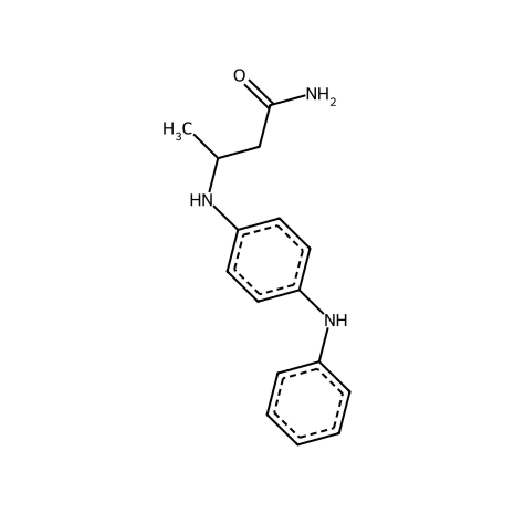 CC(CC(N)=O)Nc1ccc(Nc2ccccc2)cc1